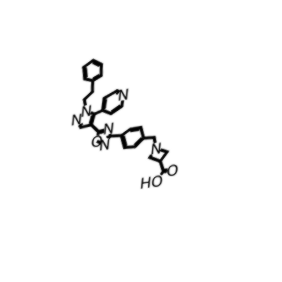 O=C(O)C1CN(Cc2ccc(-c3noc(-c4cnn(CCc5ccccc5)c4-c4ccncc4)n3)cc2)C1